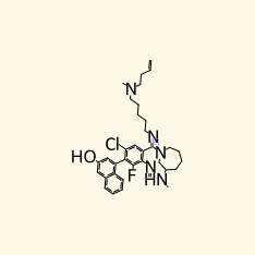 C=CCCN(C)CCCCC/N=C(\c1cc(Cl)c(-c2cc(O)cc3ccccc23)c(F)c1N=C)N1CCCCC(NC)C1